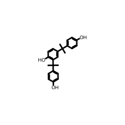 CC(C)(c1ccc(O)cc1)c1ccc(O)c(C(C)(C)c2ccc(O)cc2)c1